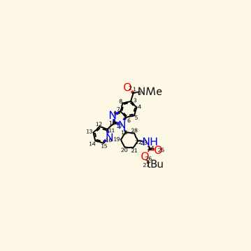 CNC(=O)c1ccc2c(c1)nc(-c1ccccn1)n2C1CCCC(NC(=O)OC(C)(C)C)C1